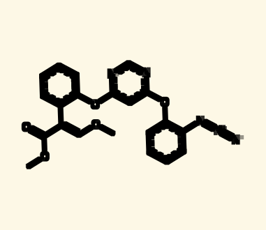 CO/C=C(/C(=O)OC)c1ccccc1Oc1cc(Oc2ccccc2N=[N+]=[N-])ncn1